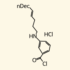 CCCCCCCCCCC=CCCCNc1cccc(C(=O)Cl)c1.Cl